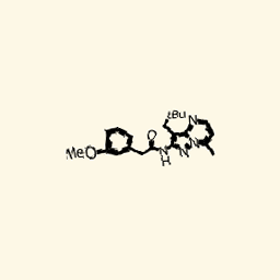 COc1cccc(CC(=O)Nc2nn3c(C)ccnc3c2CC(C)(C)C)c1